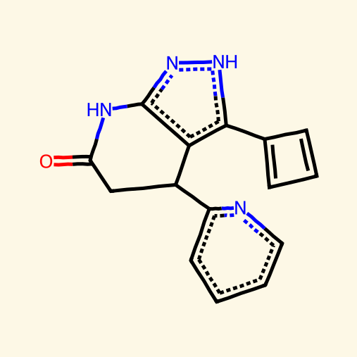 O=C1CC(c2ccccn2)c2c(n[nH]c2C2=CC=C2)N1